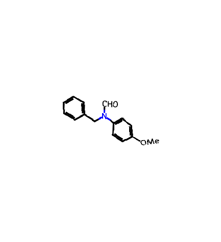 COc1ccc(N(C=O)Cc2ccccc2)cc1